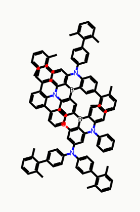 Cc1cccc(C)c1-c1ccc(N(c2ccc(-c3c(C)cccc3C)cc2)c2cc3c4c(c2)N(c2ccccc2)c2ccccc2B4c2cc4c(cc2O3)N(c2c(-c3ccccc3)cccc2-c2ccccc2)c2cc(-c3c(C)cccc3C)cc3c2B4c2cc(-c4c(C)cccc4C)ccc2N3c2ccc(-c3c(C)cccc3C)cc2)cc1